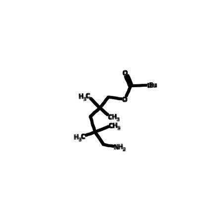 CC(C)(CN)CC(C)(C)COC(=O)C(C)(C)C